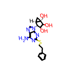 Nc1nc(SCCc2ccccc2)nc2c1ncn2[C@H]1C(O)C(O)[C@]2(CO)C[C@H]12